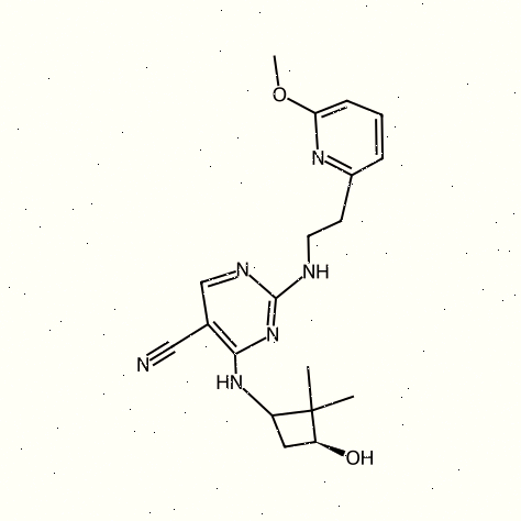 COc1cccc(CCNc2ncc(C#N)c(NC3C[C@H](O)C3(C)C)n2)n1